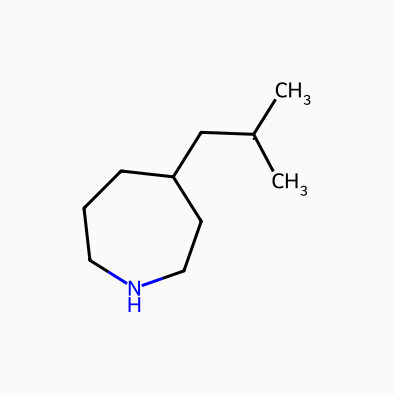 C[C](C)CC1CCCNCC1